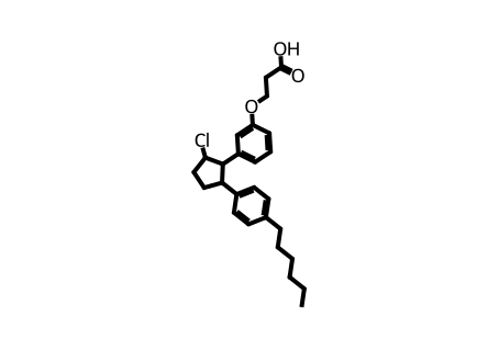 CCCCCCc1ccc(C2CCC(Cl)C2c2cccc(OCCC(=O)O)c2)cc1